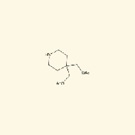 CC(=O)OCC1(COC(C)=O)CCNCC1